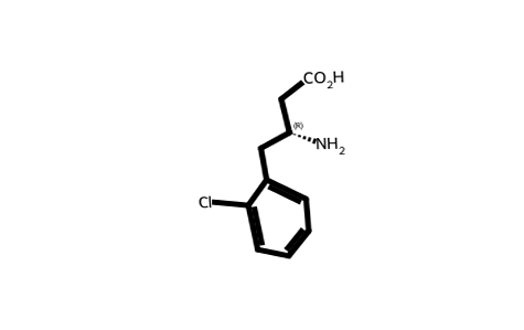 N[C@@H](CC(=O)O)Cc1ccccc1Cl